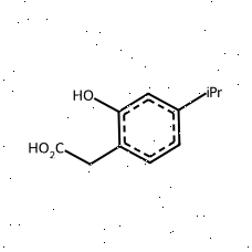 CC(C)c1ccc(CC(=O)O)c(O)c1